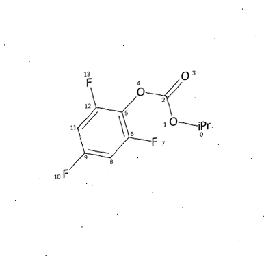 CC(C)OC(=O)Oc1c(F)cc(F)cc1F